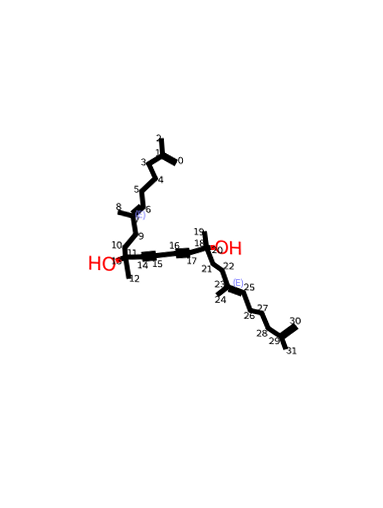 C=C(C)CCC/C=C(\C)CCC(C)(O)C#CC#CC(C)(O)CC/C(C)=C/CCCC(=C)C